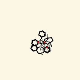 O=C(O)[C@@H]1[C@H]2CC[C@@H](CN1C(=O)N1c3ccccc3CSc3ccccc31)N2C(=O)N(c1ccccc1)c1ccccc1